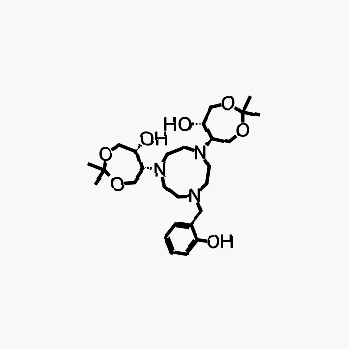 CC1(C)OC[C@@H](O)[C@H](N2CCN(Cc3ccccc3O)CCN([C@@H]3COC(C)(C)OC[C@@H]3O)CC2)CO1